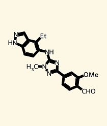 CCc1c(Nc2nc(-c3ccc(C=O)c(OC)c3)nn2C)ccc2[nH]ncc12